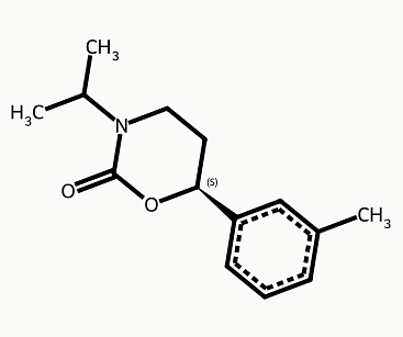 Cc1cccc([C@@H]2CCN(C(C)C)C(=O)O2)c1